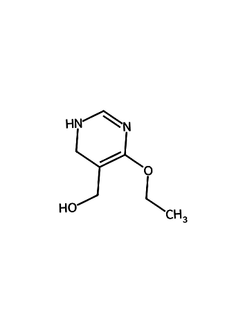 CCOC1=C(CO)CNC=N1